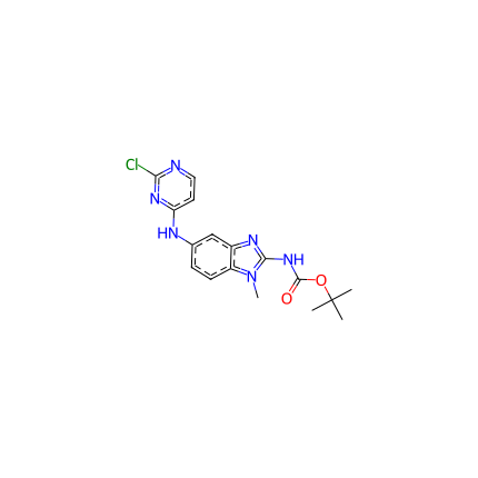 Cn1c(NC(=O)OC(C)(C)C)nc2cc(Nc3ccnc(Cl)n3)ccc21